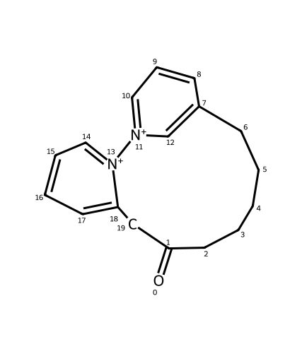 O=C1CCCCCc2ccc[n+](c2)-[n+]2ccccc2C1